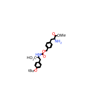 COC(=O)[C@@H](N)Cc1ccc(COC(=O)N[C@@H](Cc2ccc(OC(C)(C)C)cc2)C(=O)O)cc1